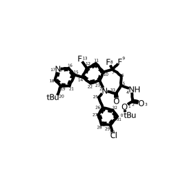 CC(C)(C)OC(=O)NC1CC(F)(F)c2cc(F)c(-c3cncc(C(C)(C)C)c3)cc2N(Cc2ccc(Cl)cc2)C1=O